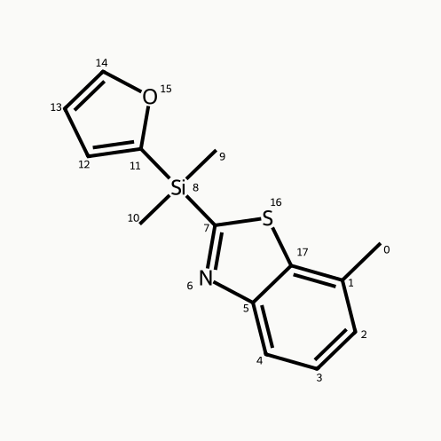 Cc1cccc2nc([Si](C)(C)c3ccco3)sc12